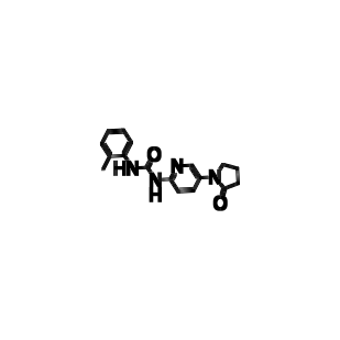 Cc1ccccc1NC(=O)Nc1ccc(N2CCCC2=O)cn1